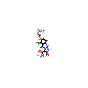 CC(=O)OCCOc1ccc2c(c1Cl)C(C)N1C(=N2)NC(=O)C1C(N)=O